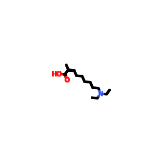 CCN(CC)CCCCCCC=C(C)C(=O)O